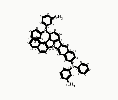 Cc1cccc(N(c2ccccc2)c2ccc3cc4c5ccc(N(c6ccccc6)c6cccc(C)c6)c6c7c8ccccc8ccc7n(c4cc3c2)c56)c1